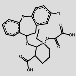 CC[N+]1(OC(=O)C(=O)O)CCCC(C(=O)O)C1OC1Cc2cc(Cl)ccc2Sc2ccccc21